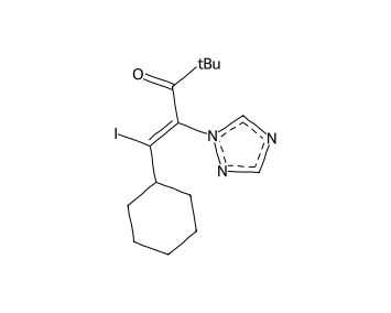 CC(C)(C)C(=O)C(=C(I)C1CCCCC1)n1cncn1